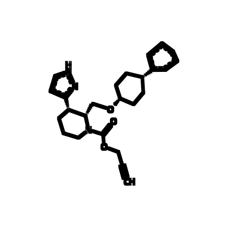 C#CCOC(=O)N1CCC[C@H](c2cc[nH]n2)[C@@H]1CO[C@H]1CC[C@@H](c2ccccc2)CC1